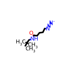 CCC(C)(C)CNC(=O)CCCCN=[N+]=[N-]